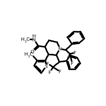 CNC(=O)C1CCN(C(c2ccccc2)C(F)(F)F)C(C(c2ccccc2)C(F)(F)F)C1c1sccc1C